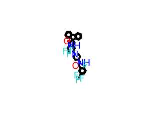 O=C(NC1CCN(CCCCC2(C(=O)NCC(F)(F)F)c3ccccc3-c3ccccc32)CC1)c1cc(C(F)(F)F)ccc1F